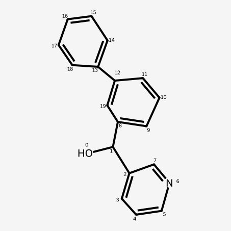 OC(c1cccnc1)c1cccc(-c2ccccc2)c1